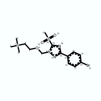 CS(C)(C)CCOCn1nc(-c2ccc(Br)cc2)nc1S(C)(=O)=O